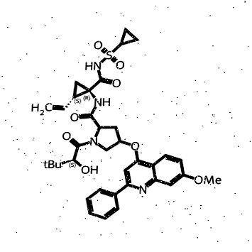 C=C[C@@H]1C[C@]1(NC(=O)C1CC(Oc2cc(-c3ccccc3)nc3cc(OC)ccc23)CN1C(=O)[C@@H](O)C(C)(C)C)C(=O)NS(=O)(=O)C1CC1